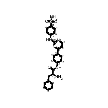 NC(Cc1ccccc1)C(=O)Nc1ccc(-c2ccnc(Nc3ccc(S(N)(=O)=O)cc3)n2)cc1